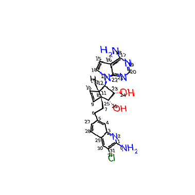 Nc1nc2cc(CC[C@@]34C=C[C@@H]3[C@@H](n3ccc5c(N)ncnc53)[C@H](O)[C@@H]4O)ccc2cc1Cl